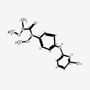 CON(C)C(=S)N(OC)c1ccc(Oc2cccc(Cl)n2)cc1